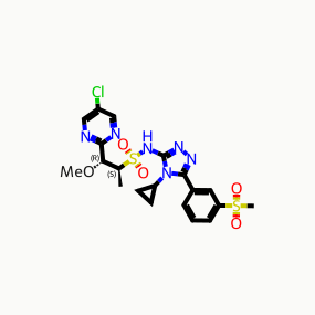 CO[C@H](c1ncc(Cl)cn1)[C@H](C)S(=O)(=O)Nc1nnc(-c2cccc(S(C)(=O)=O)c2)n1C1CC1